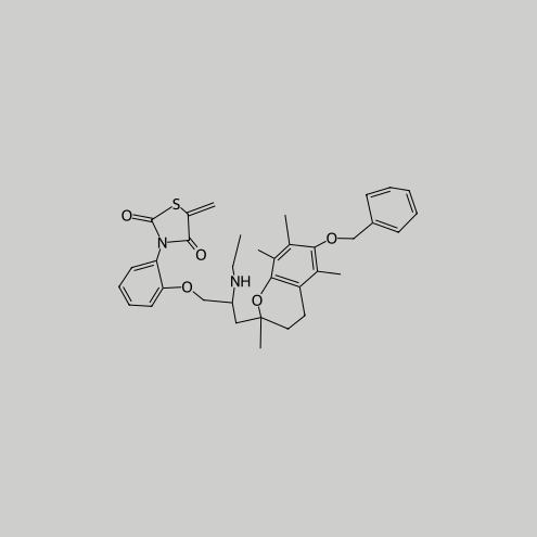 C=C1SC(=O)N(c2ccccc2OCC(CC2(C)CCc3c(C)c(OCc4ccccc4)c(C)c(C)c3O2)NCC)C1=O